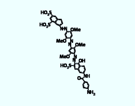 COc1cc(N=Nc2cc(OC)c(N=Nc3c(S(=O)(=O)O)cc4cc(NC(=O)c5ccc(N)cc5)ccc4c3O)cc2OC)c(OC)cc1N=Nc1ccc2cc(S(=O)(=O)O)cc(S(=O)(=O)O)c2c1